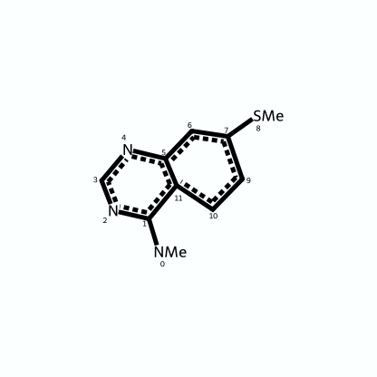 CNc1ncnc2cc(SC)ccc12